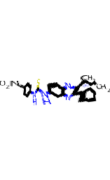 C=C/C=C(\C)c1nc2ccc(NC(=S)Nc3ccc([N+](=O)[O-])cc3)cc2nc1-c1ccccc1